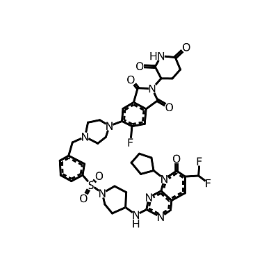 O=C1CCC(N2C(=O)c3cc(F)c(N4CCN(Cc5cccc(S(=O)(=O)N6CCC(Nc7ncc8cc(C(F)F)c(=O)n(C9CCCC9)c8n7)CC6)c5)CC4)cc3C2=O)C(=O)N1